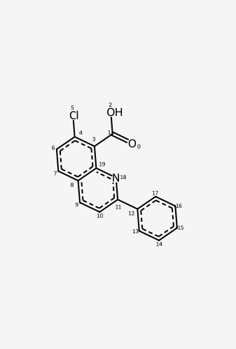 O=C(O)c1c(Cl)ccc2ccc(-c3ccccc3)nc12